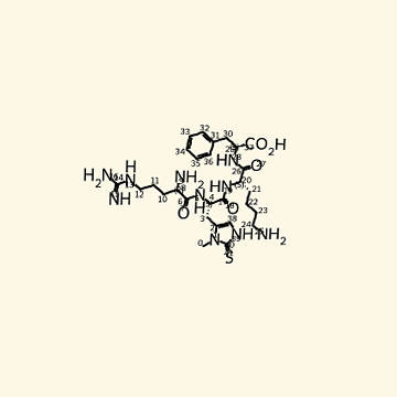 Cn1c(C[C@H](NC(=O)[C@H](N)CCCNC(=N)N)C(=O)N[C@@H](CCCCN)C(=O)N[C@@H](Cc2ccccc2)C(=O)O)c[nH]c1=S